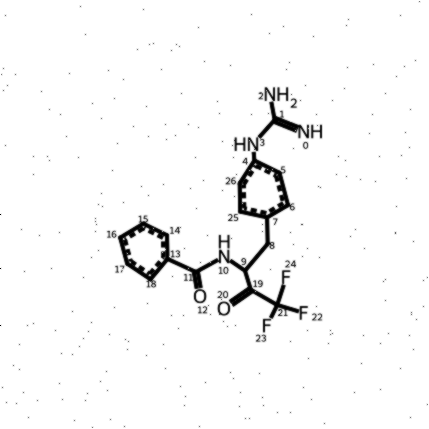 N=C(N)Nc1ccc(CC(NC(=O)c2ccccc2)C(=O)C(F)(F)F)cc1